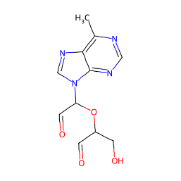 Cc1ncnc2c1ncn2C(C=O)OC(C=O)CO